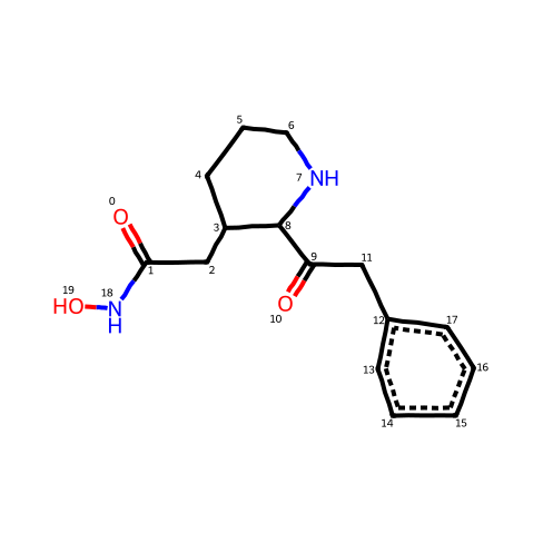 O=C(CC1CCCNC1C(=O)Cc1ccccc1)NO